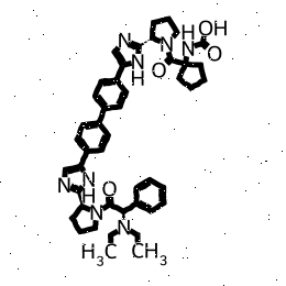 CCN(CC)[C@@H](C(=O)N1CCC[C@H]1c1ncc(-c2ccc(-c3ccc(-c4cnc([C@@H]5CCCN5C(=O)C5(NC(=O)O)CCCC5)[nH]4)cc3)cc2)[nH]1)c1ccccc1